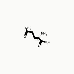 CC(C)(C)C(=O)[C@@H](N)CCC(N)=O